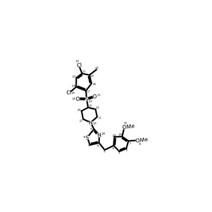 COc1ccc(Cc2csc(N3CCC(S(=O)(=O)c4cc(C)c(Cl)cc4Cl)CC3)n2)cc1OC